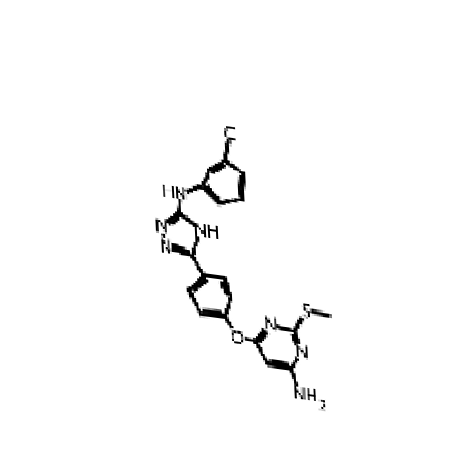 CSc1nc(N)cc(Oc2ccc(-c3nnc(Nc4cccc(Cl)c4)[nH]3)cc2)n1